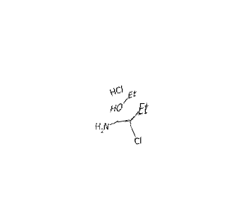 CCC(Cl)CN.CCO.Cl